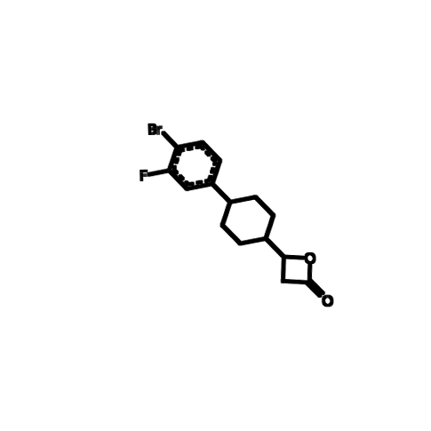 O=C1CC(C2CCC(c3ccc(Br)c(F)c3)CC2)O1